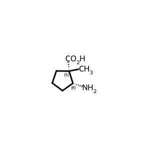 C[C@]1(C(=O)O)CCC[C@H]1N